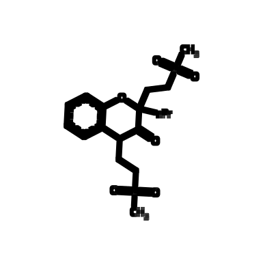 CCCC1(CCS(C)(=O)=O)Oc2ccccc2C(CCS(C)(=O)=O)C1=O